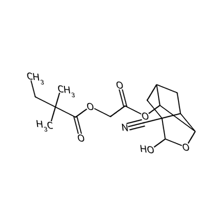 CCC(C)(C)C(=O)OCC(=O)OC1C2CC3C1OC(O)C3(C#N)C2